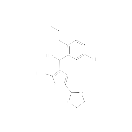 Cc1sc(C2OCCO2)cc1C(O)c1cc(Cl)ccc1CCI